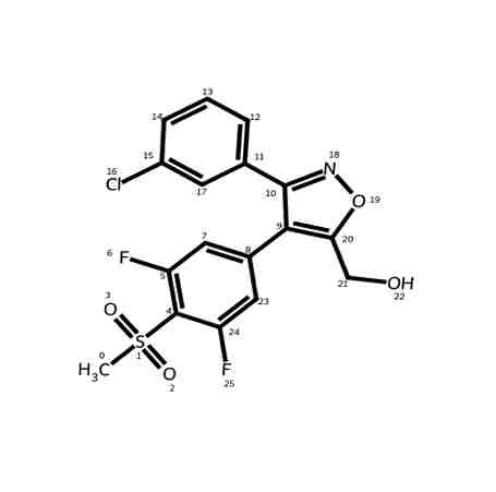 CS(=O)(=O)c1c(F)cc(-c2c(-c3cccc(Cl)c3)noc2CO)cc1F